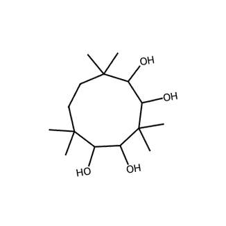 CC1(C)CCC(C)(C)C(O)C(O)C(C)(C)C(O)C1O